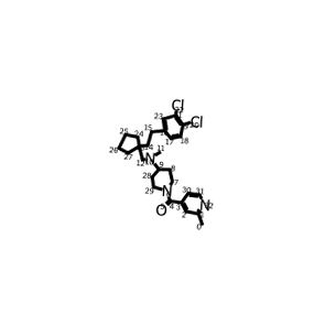 Cc1cc(C(=O)N2CCC(N(C)CC3(CCc4ccc(Cl)c(Cl)c4)CCCC3)CC2)ccn1